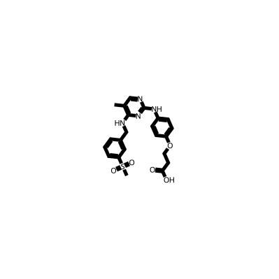 Cc1cnc(Nc2ccc(OCCC(=O)O)cc2)nc1NCc1cccc(S(C)(=O)=O)c1